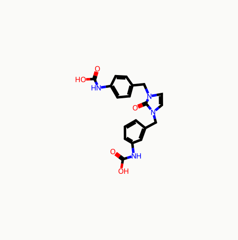 O=C(O)Nc1ccc(Cn2ccn(Cc3cccc(NC(=O)O)c3)c2=O)cc1